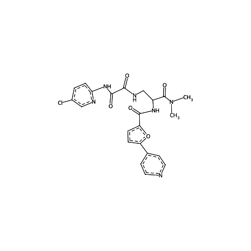 CN(C)C(=O)C(CNC(=O)C(=O)Nc1ccc(Cl)cn1)NC(=O)c1ccc(-c2ccncc2)o1